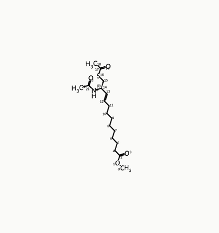 COC(=O)CCCCCCCCC=C[C@H](CSC(C)=O)NC(C)=O